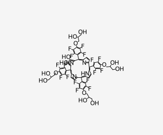 OCC(O)COc1c(F)c(F)c(-c2c3nc(c(-c4c(F)c(F)c(OCC(O)CO)c(F)c4F)c4[nH]c(c(O)c4O)c(-c4c(F)c(F)c(OCC(O)CO)c(F)c4F)c4nc(c(-c5c(F)c(F)c(OCC(O)CO)c(F)c5F)c5ccc2[nH]5)C=C4)C=C3)c(F)c1F